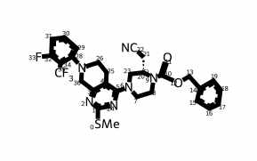 CSc1nc2c(c(N3CCN(C(=O)OCc4ccccc4)[C@@H](CC#N)C3)n1)CCN(c1cccc(F)c1C(F)(F)F)C2